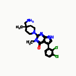 Cn1c(N2CCC(C)(CN)CC2)nc2[nH]cc(-c3cccc(Cl)c3Cl)c2c1=O